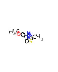 COc1ccc(-c2nnc3n2-c2ccccc2SC[C@H]3C)cc1